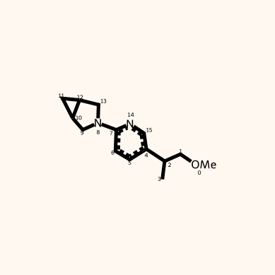 COCC(C)c1ccc(N2CC3CC3C2)nc1